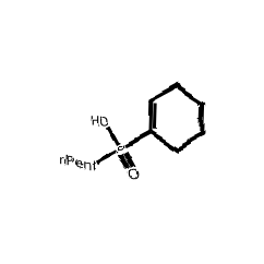 CCCCCP(=O)(O)C1=CCCCC1